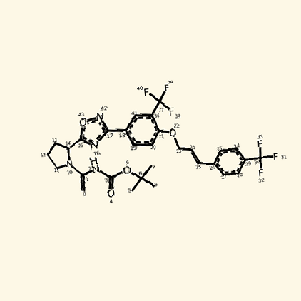 C=C(NC(=O)OC(C)(C)C)N1CCC[C@H]1c1nc(-c2ccc(OC/C=C/c3ccc(C(F)(F)F)cc3)c(C(F)(F)F)c2)no1